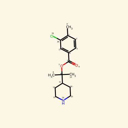 Cc1ccc(C(=O)OC(C)(C)C2CCNCC2)cc1Cl